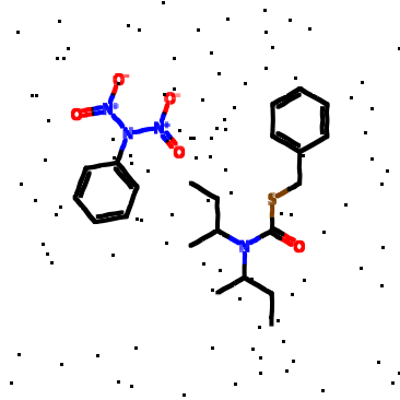 CCC(C)N(C(=O)SCc1ccccc1)C(C)CC.O=[N+]([O-])N(c1ccccc1)[N+](=O)[O-]